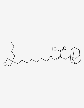 CCCCC1(CCCCCCCOC=C(CC23CC4CC(CC(C4)C2)C3)C(=O)O)COC1